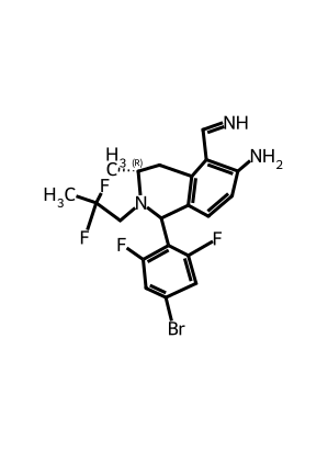 C[C@@H]1Cc2c(ccc(N)c2C=N)C(c2c(F)cc(Br)cc2F)N1CC(C)(F)F